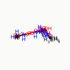 CC(C)N(CCCNC(=O)Nc1ccc(C(C)(C)C)cc1)C[C@H]1O[C@@H](n2cnc3c(NCCCC(=O)NCCCOCCOCCOCCCNC(=O)CCCC[C@@H]4SC[C@@H]5NC(=O)N[C@@H]54)ncnc32)[C@H](O)[C@@H]1O